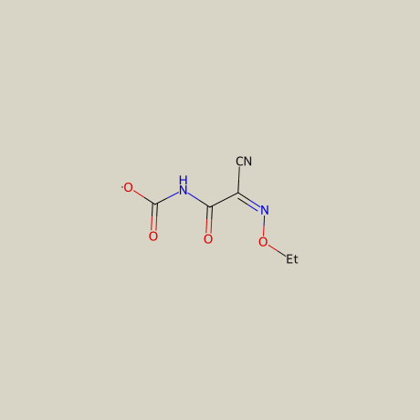 CCON=C(C#N)C(=O)NC([O])=O